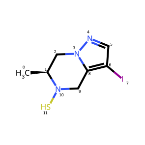 C[C@H]1Cn2ncc(I)c2CN1S